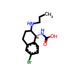 CCCNC1CCc2cc(Br)ccc2[C@H]1NC(=O)O